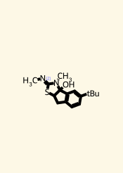 C/N=C1\SC2Cc3ccc(C(C)(C)C)cc3C2(O)N1C